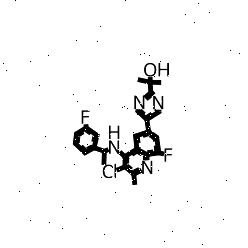 Cc1nc2c(F)cc(-c3cnc(C(C)(C)O)nc3)cc2c(NC(C)c2cccc(F)c2)c1Cl